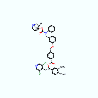 COc1ccc([C@H](Cc2c(Cl)cncc2Cl)OC(=O)c2ccc(COc3cccc(CN(C(=O)O[C@H]4CN5CCC4CC5)c4ccccc4)c3)cc2)cc1OC